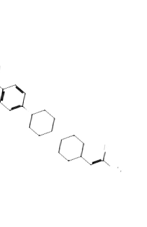 N#C/C(F)=C/C1CCC([C@H]2CC[C@H](c3ccc(OC(F)(F)F)cc3)CC2)CC1